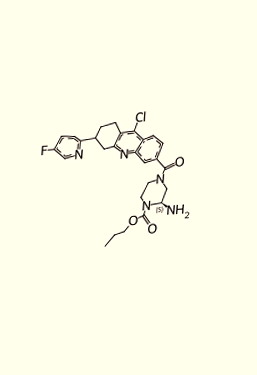 CCCOC(=O)N1CCN(C(=O)c2ccc3c(Cl)c4c(nc3c2)CC(c2ccc(F)cn2)CC4)C[C@H]1N